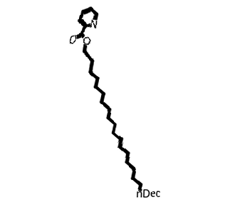 CCCCCCCCCCCCCCCCCCCCCCCCCCCCOC(=O)c1ccccn1